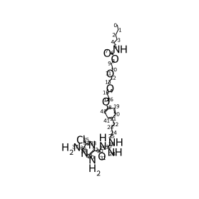 CCCCCNC(=O)OCCOCCOCCOc1ccc(CCCCNC(=N)NC(=O)c2nc(Cl)c(N)nc2N)cc1